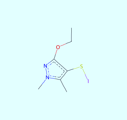 CCOc1nn(C)c(C)c1SI